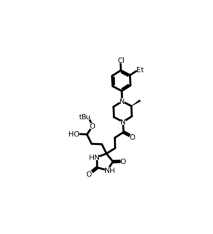 CCc1cc(N2CCN(C(=O)CCC3(CCC(O)OC(C)(C)C)NC(=O)NC3=O)C[C@@H]2C)ccc1Cl